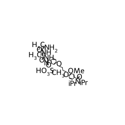 COc1cc(C(=O)N(C(C)C)C(C)C)ccc1OCCCCOc1ccc2c(NC(=O)[C@H](C)NC(=O)[C@H](C)N)noc2c1.CS(=O)(=O)O